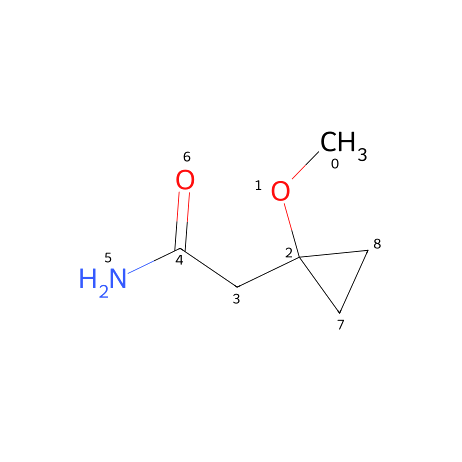 COC1(CC(N)=O)CC1